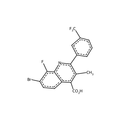 Cc1c(-c2cccc(C(F)(F)F)c2)nc2c(F)c(Br)ccc2c1C(=O)O